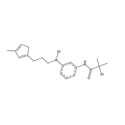 CCN(CCCC1=CC(C)=CC1)c1cccc(NC(=O)C(C)(C)CC)c1